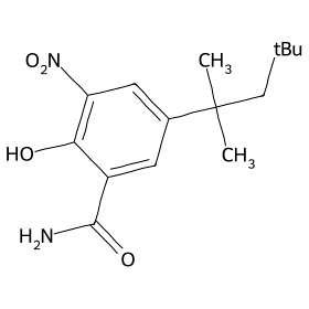 CC(C)(C)CC(C)(C)c1cc(C(N)=O)c(O)c([N+](=O)[O-])c1